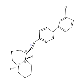 Clc1cccc(-c2ccc(/C=C/[C@@H]3CCC[C@@H]4CCCC[C@H]43)nc2)c1